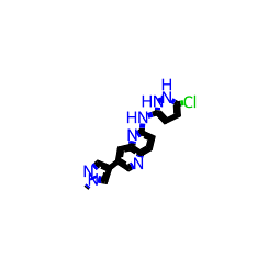 Cn1cc(-c2cnc3ccc(NC4=CC=C(Cl)NN4)nc3c2)cn1